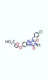 CCn1c(=O)[nH]/c(=N\c2ccc(Oc3ccc(C(=O)O)o3)cc2)n(Cc2ccc(Cl)cc2)c1=O